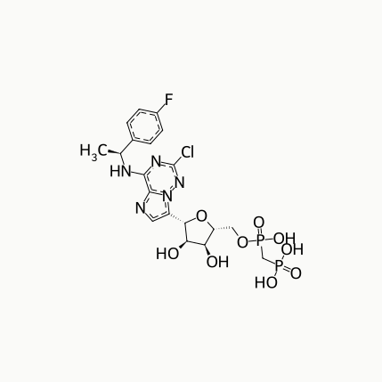 C[C@H](Nc1nc(Cl)nn2c([C@@H]3O[C@H](COP(=O)(O)CP(=O)(O)O)[C@@H](O)[C@H]3O)cnc12)c1ccc(F)cc1